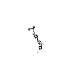 CCN(CCCOc1ccc(CCN2CCN(C(=O)c3ccc(C(F)(F)F)cc3)CC2)c(C)c1C)C(C)C